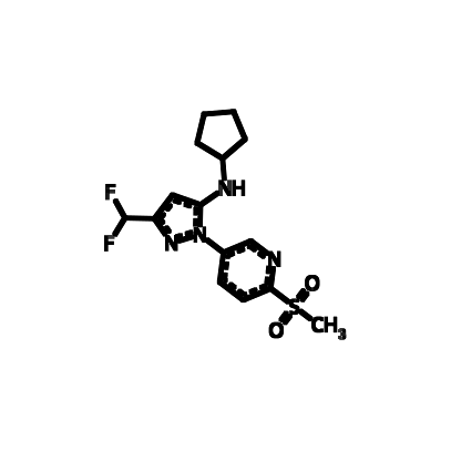 CS(=O)(=O)c1ccc(-n2nc(C(F)F)cc2NC2CCCC2)cn1